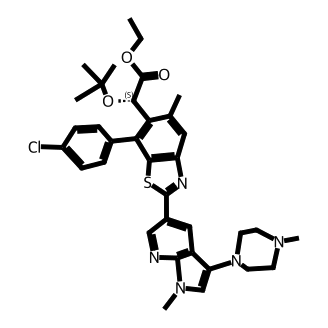 CCOC(=O)[C@@H](OC(C)(C)C)c1c(C)cc2nc(-c3cnc4c(c3)c(N3CCN(C)CC3)cn4C)sc2c1-c1ccc(Cl)cc1